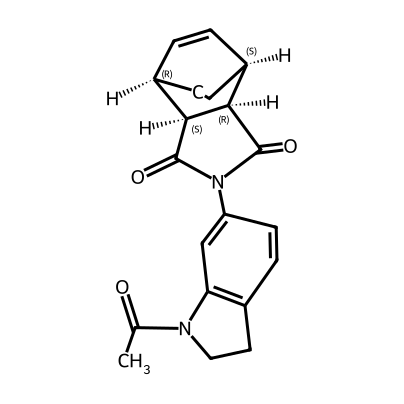 CC(=O)N1CCc2ccc(N3C(=O)[C@@H]4[C@H](C3=O)[C@@H]3C=C[C@H]4CC3)cc21